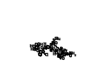 C=C(/C=C\C(=C)NC(=O)C(CCCNC(N)=O)NC(=O)C(NC(=O)CCCCCN1C(=O)C=C(SCC(C)(C)C)C1=O)C(C)C)COC(=O)NCC(=O)Nc1ccc2[nH]c(C(=O)N3CC(CCl)c4c3cc(OC3OC(CO)C(O)C(O)C3O)c3ccccc43)cc2c1